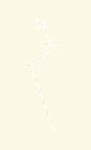 CCCCCCCCCCCCS(=O)(=O)CCCOP(=O)(O)OCC[N+](C)(C)C